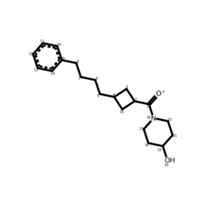 O=C(C1CC(CCCCc2ccccc2)C1)N1CCC(O)CC1